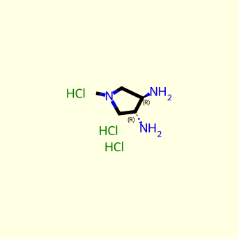 CN1C[C@@H](N)[C@H](N)C1.Cl.Cl.Cl